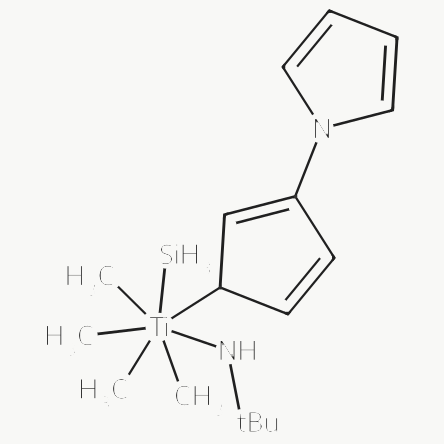 CC(C)(C)[NH][Ti]([CH3])([CH3])([CH3])([CH3])([SiH3])[CH]1C=CC(n2cccc2)=C1